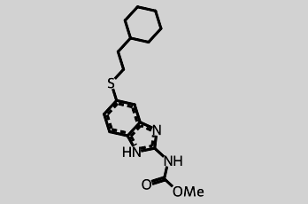 COC(=O)Nc1nc2cc(SCCC3CCCCC3)ccc2[nH]1